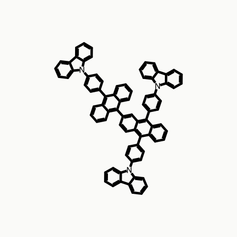 c1ccc2c(-c3ccc4c(-c5ccc(-n6c7ccccc7c7ccccc76)cc5)c5ccccc5c(-c5ccc(-n6c7ccccc7c7ccccc76)cc5)c4c3)c3ccccc3c(-c3ccc(-n4c5ccccc5c5ccccc54)cc3)c2c1